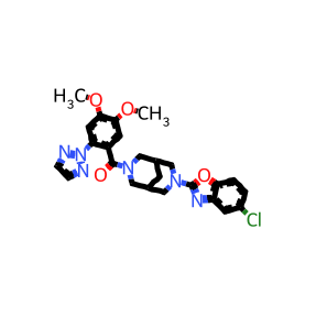 COc1cc(C(=O)N2CC3CC(C2)CN(c2nc4cc(Cl)ccc4o2)C3)c(-n2nccn2)cc1OC